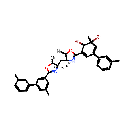 Cc1cccc(C2=CC(C)(Br)C(Br)C(C3=N[C@](C)(C[C@@]4(C)N=C(c5cc(C)cc(-c6cccc(C)c6)c5)O[CH]4[Ni])[CH]([Ni])O3)=C2)c1